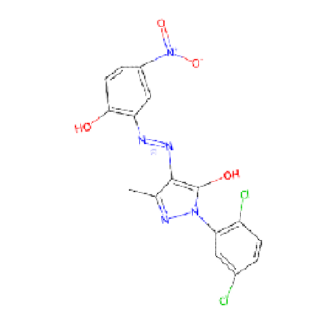 Cc1nn(-c2cc(Cl)ccc2Cl)c(O)c1/N=N/c1cc([N+](=O)[O-])ccc1O